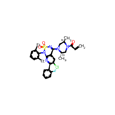 C=CC(=O)N1C[C@H](C)N(C2=NS(=O)(=O)N(c3c(CC)cccc3CC)c3nc(-c4ccccc4F)c(Cl)cc32)C[C@H]1C